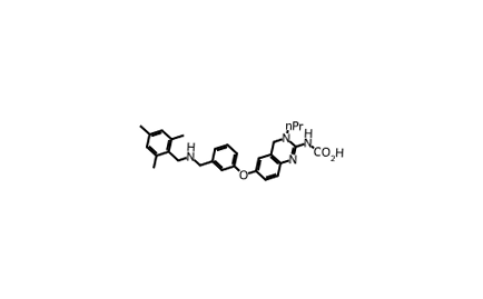 CCCN1Cc2cc(Oc3cccc(CNCc4c(C)cc(C)cc4C)c3)ccc2N=C1NC(=O)O